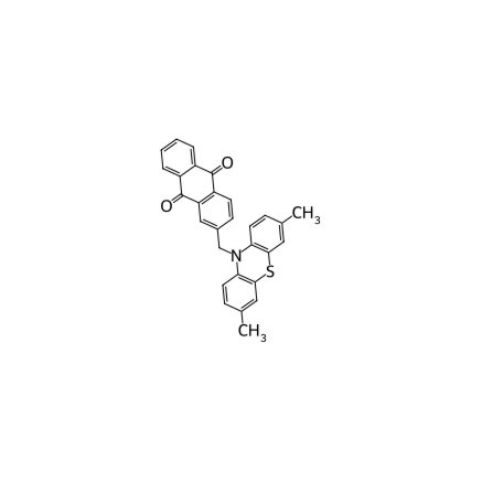 Cc1ccc2c(c1)Sc1cc(C)ccc1N2Cc1ccc2c(c1)C(=O)c1ccccc1C2=O